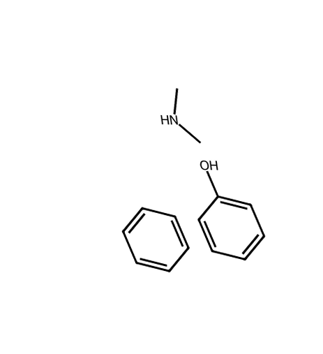 CNC.Oc1ccccc1.c1ccccc1